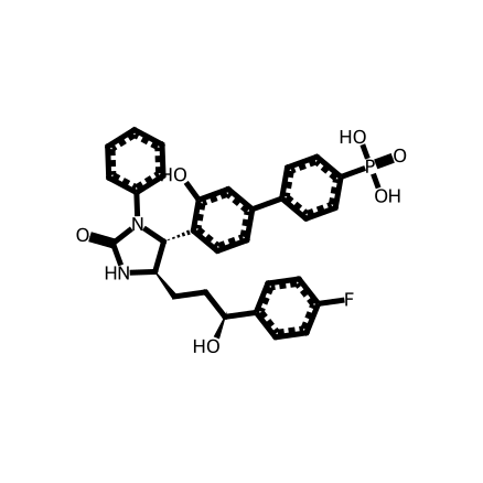 O=C1N[C@H](CC[C@H](O)c2ccc(F)cc2)[C@@H](c2ccc(-c3ccc(P(=O)(O)O)cc3)cc2O)N1c1ccccc1